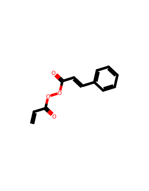 C=CC(=O)OOC(=O)C=Cc1ccccc1